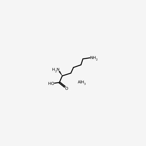 NCCCC[C@H](N)C(=O)O.[AlH3]